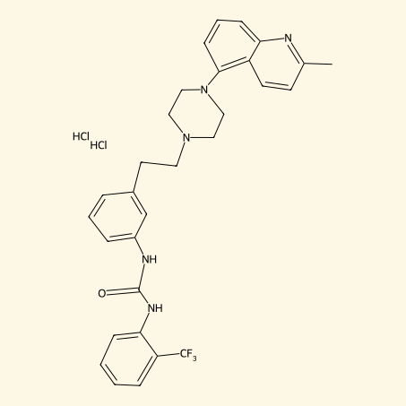 Cc1ccc2c(N3CCN(CCc4cccc(NC(=O)Nc5ccccc5C(F)(F)F)c4)CC3)cccc2n1.Cl.Cl